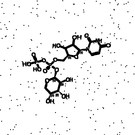 O=c1ccn([C@H]2O[C@@H](COP(=O)(O[C@@H]3OC[C@@H](O)[C@@H](O)[C@@H]3O)OP(=O)(O)O)C(O)C2O)c(=O)[nH]1